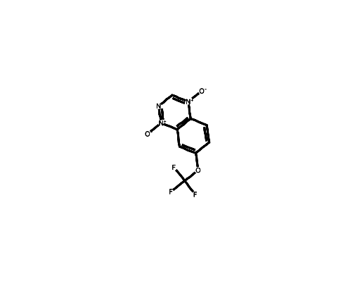 [O-][n+]1cn[n+]([O-])c2cc(OC(F)(F)F)ccc21